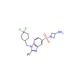 CC(C)c1nc2cc(S(=O)(=O)N3CC(N)C3)ccc2n1CC1CCC(F)(F)CC1